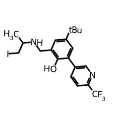 CC(CI)NCc1cc(C(C)(C)C)cc(-c2ccc(C(F)(F)F)nc2)c1O